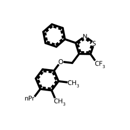 CCCc1ccc(OCc2c(-c3ccccc3)nsc2C(F)(F)F)c(C)c1C